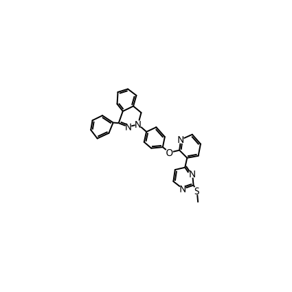 CSc1nccc(-c2cccnc2Oc2ccc(N3Cc4ccccc4C(c4ccccc4)=N3)cc2)n1